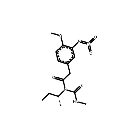 CC[C@@H](C)N(C(=O)Cc1ccc(OC)c(N=S(=O)=O)c1)C(=S)NC